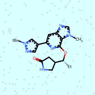 CC[C@@H](Oc1nc(-c2cnn(C(C)(C)C)c2)cc2ncn(C)c12)C1CNC(=O)C1